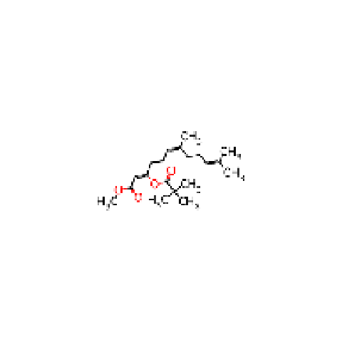 COC(=O)C=C(CCC=C(C)CCC=C(C)C)OC(=O)C(C)(C)C